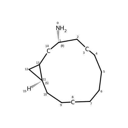 N[C@@H]1CCCCCCCCC[C@H]2CC2C1